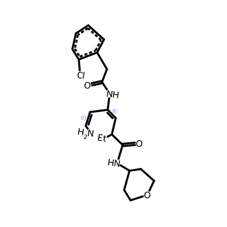 CCC(/C=C(\C=C/N)NC(=O)Cc1ccccc1Cl)C(=O)NC1CCOCC1